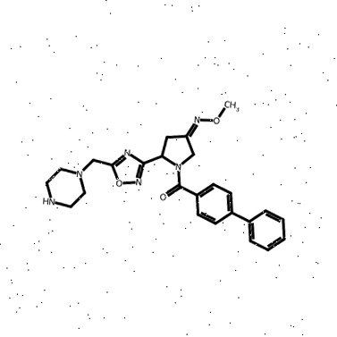 CON=C1CC(c2noc(CN3CCNCC3)n2)N(C(=O)c2ccc(-c3ccccc3)cc2)C1